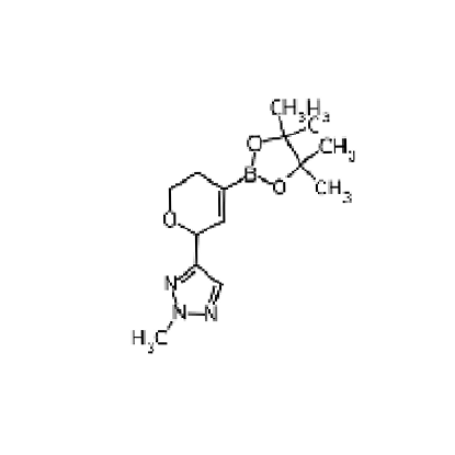 Cn1ncc(C2C=C(B3OC(C)(C)C(C)(C)O3)CCO2)n1